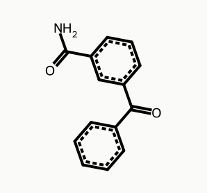 NC(=O)c1cccc(C(=O)c2ccccc2)c1